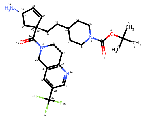 CC(C)(C)OC(=O)N1CCC(CC[C@]2(C(=O)N3CCc4ncc(C(F)(F)F)cc4C3)C=C[C@@H](N)C2)CC1